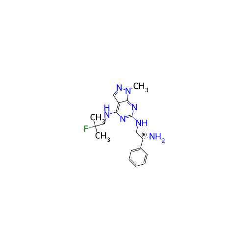 Cn1ncc2c(NCC(C)(C)F)nc(NC[C@H](N)c3ccccc3)nc21